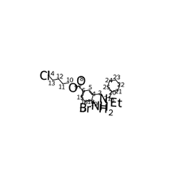 CCC(NCc1cc(C(=O)OCCCCCl)cc(Br)c1N)C1CCCCC1